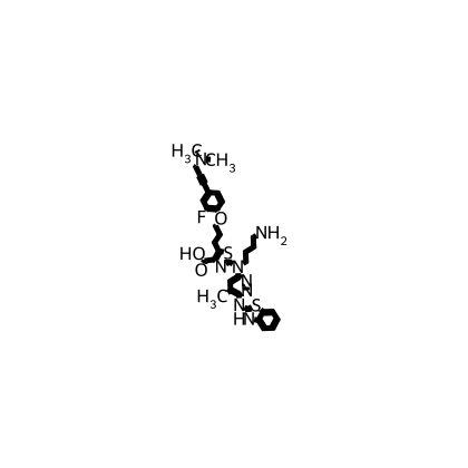 Cc1cc(N(CCCCN)c2nc(C(=O)O)c(CCCOc3ccc(C#CCN(C)C)cc3F)s2)nnc1Nc1nc2ccccc2s1